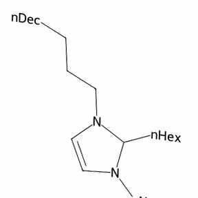 CCCCCCCCCCCCCN1C=CN(CCCCCCCCC)C1CCCCCC